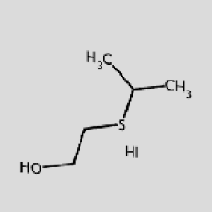 CC(C)SCCO.I